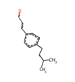 CC(C)CCc1ccc(C=CC=O)cc1